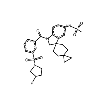 CS(=O)(=O)Nc1ccc2c(c1)C1(CCC3(CC3)CC1)CN2C(=O)c1cccc(S(=O)(=O)N2CCC(F)C2)c1